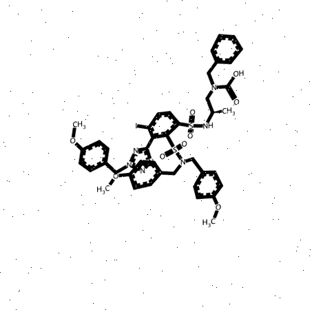 COc1ccc(CN(Cc2ccc(OC)cc2)S(=O)(=O)c2c(S(=O)(=O)N[C@H](C)CN(Cc3ccccc3)C(=O)O)ccc(I)c2-c2nnn(Cc3ccc(OC)cc3)n2)cc1